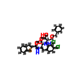 O=C(NC(COCc1ccccc1)C(=O)O)C(=Cc1ccc(Cl)c(Cl)c1)NC(=O)c1cc2ccccc2s1